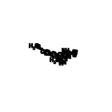 COCCOc1ccc(N2CCN(C(=O)C(C)Nc3nc(N)n4nc(-c5ccco5)nc4c3C=N)CC2)cc1